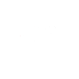 CC(C(=O)O)c1ccc2c(c1)CC(C(C)C)C2.CC(C(=O)O)c1ccc2c(c1)CC(C(C)C)C2.[AlH3]